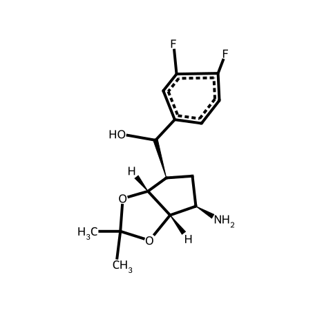 CC1(C)O[C@@H]2[C@H](O1)[C@@H](C(O)c1ccc(F)c(F)c1)C[C@H]2N